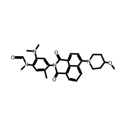 COC1CCN(c2ccc3c4c(cccc24)C(=O)N(c2cc(N(C)C)c(N(C)C=O)cc2C)C3=O)CC1